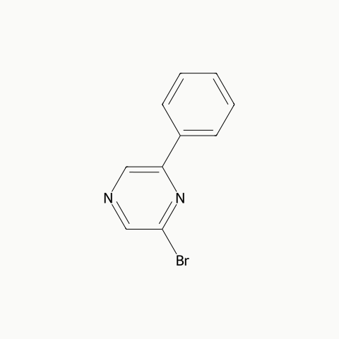 Brc1cncc(-c2ccccc2)n1